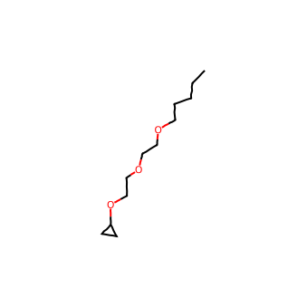 CCCCCOCCOCCOC1CC1